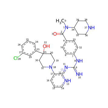 CN(C(=O)c1ccc(NC(=N)/N=c2\[nH]cccc2N2CCC(O)(c3cccc(Cl)c3)CC2)cc1)C1CCNCC1